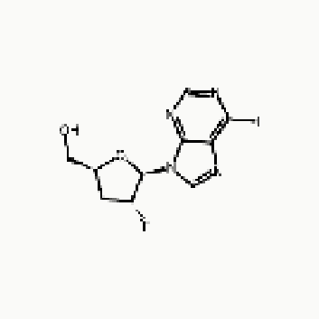 OC[C@@H]1C[C@@H](F)[C@H](n2cnc3c(I)ncnc32)O1